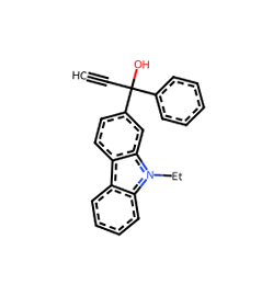 C#CC(O)(c1ccccc1)c1ccc2c3ccccc3n(CC)c2c1